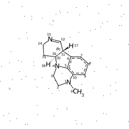 CN1CCN2c3c(cccc31)[C@H]1C=NCC[C@@H]12